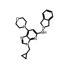 c1ccc2c(c1)CN(Nc1cc(N3CCOCC3)c3ncn(CC4CC4)c3n1)C2